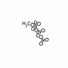 Cc1cc2c3c(c1)Oc1cc4c5ccc6cc(N(c7ccccc7)c7ccccc7)ccc6c5n(-c5ccccc5)c4cc1B3c1ccccc1O2